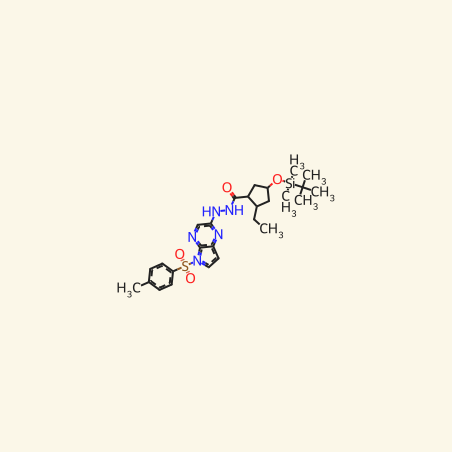 CCC1CC(O[Si](C)(C)C(C)(C)C)CC1C(=O)NNc1cnc2c(ccn2S(=O)(=O)c2ccc(C)cc2)n1